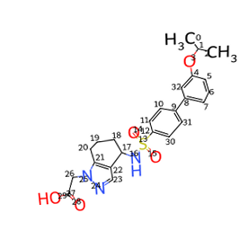 CC(C)Oc1cccc(-c2ccc(S(=O)(=O)NC3CCCc4c3cnn4CC(=O)O)cc2)c1